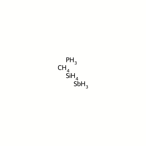 C.P.[SbH3].[SiH4]